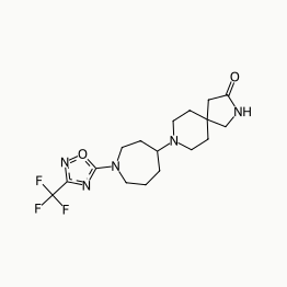 O=C1CC2(CCN(C3CCCN(c4nc(C(F)(F)F)no4)CC3)CC2)CN1